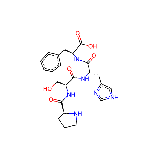 O=C(O)[C@H](Cc1ccccc1)NC(=O)[C@H](Cc1c[nH]cn1)NC(=O)[C@H](CO)NC(=O)[C@@H]1CCCN1